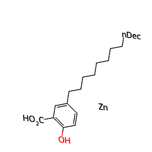 CCCCCCCCCCCCCCCCCCc1ccc(O)c(C(=O)O)c1.[Zn]